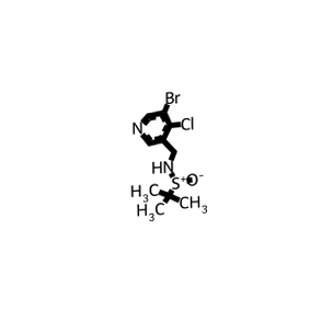 CC(C)(C)[S+]([O-])NCc1cncc(Br)c1Cl